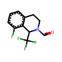 O=CN1CCc2cccc(F)c2C1C(F)(F)F